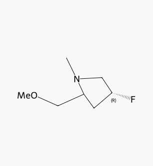 COCC1C[C@@H](F)CN1C